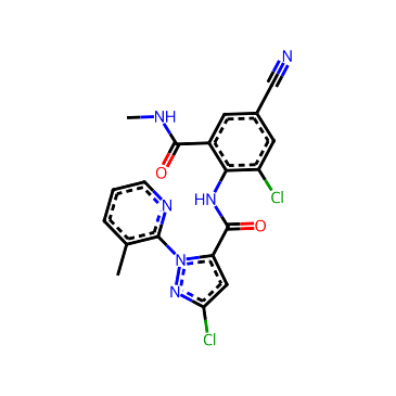 CNC(=O)c1cc(C#N)cc(Cl)c1NC(=O)c1cc(Cl)nn1-c1ncccc1C